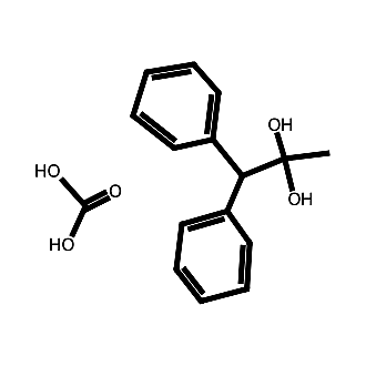 CC(O)(O)C(c1ccccc1)c1ccccc1.O=C(O)O